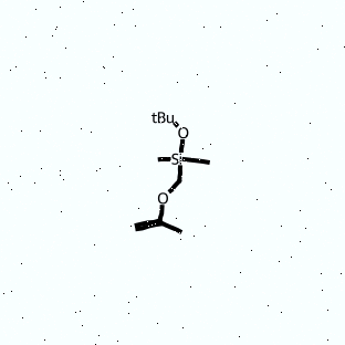 C=C(C)OC[Si](C)(C)OC(C)(C)C